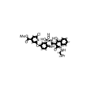 COC(=O)c1cc(Cl)nc(Oc2ccc3c(c2)S(O)(O)N=C(c2c(O)c4ccccc4n(NCC(C)C)c2=O)N3)c1